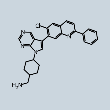 NCC1CCC(n2cc(-c3cc4nc(-c5ccccc5)ccc4cc3Cl)c3cncnc32)CC1